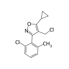 Cc1cccc(Cl)c1-c1noc(C2CC2)c1CCl